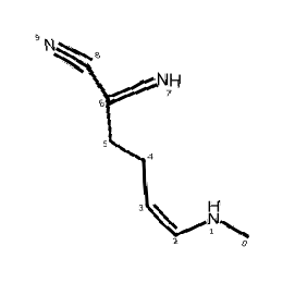 CN/C=C\CCC(=N)C#N